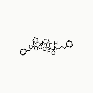 O=C([C@H]1CCCN1C(=O)OCc1ccccc1)N1CCCC1C(=O)C(F)(F)C(=O)NCCCc1ccccc1